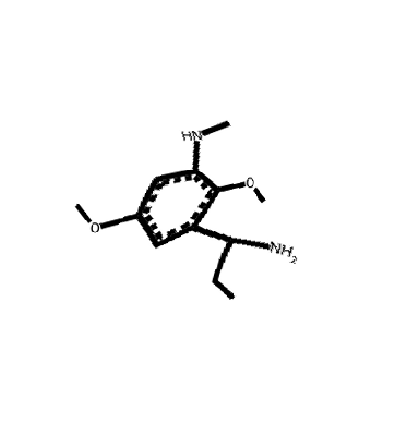 CCC(N)c1cc(OC)cc(NC)c1OC